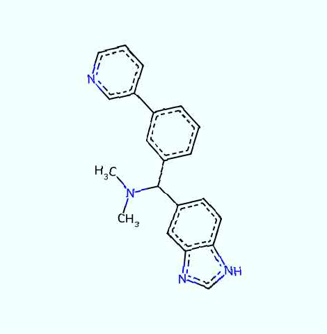 CN(C)C(c1cccc(-c2cccnc2)c1)c1ccc2[nH]cnc2c1